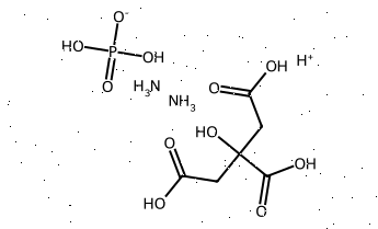 N.N.O=C(O)CC(O)(CC(=O)O)C(=O)O.O=P([O-])(O)O.[H+]